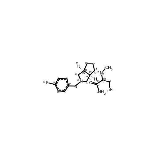 CC(C)C[C@@H](C(N)=O)N(C)[C@H]1CC[C@@H]2CN(Cc3ccc(F)cc3)C[C@@H]21